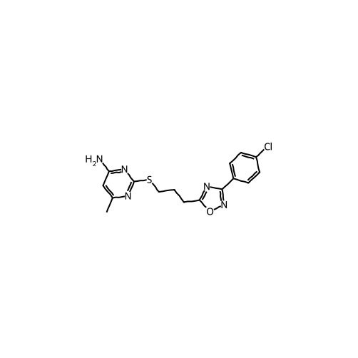 Cc1cc(N)nc(SCCCc2nc(-c3ccc(Cl)cc3)no2)n1